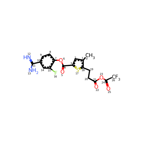 Cc1cc(C(=O)Oc2ccc(C(=N)N)cc2F)sc1CCC(=O)OC(=O)C(F)(F)F